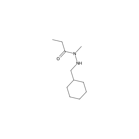 CCC(=O)N(C)NCC1CCCCC1